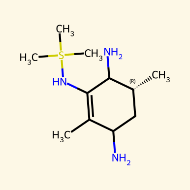 CC1=C(NS(C)(C)C)C(N)[C@H](C)CC1N